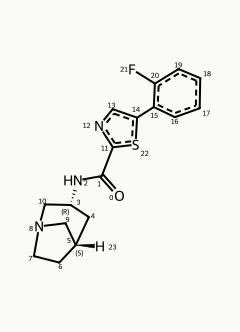 O=C(N[C@@H]1C[C@@H]2CCN(C2)C1)c1ncc(-c2ccccc2F)s1